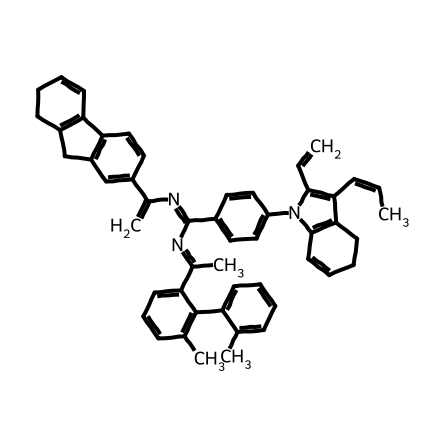 C=Cc1c(/C=C\C)c2c(n1-c1ccc(C(=N/C(=C)c3ccc4c(c3)CC3=C4C=CCC3)/N=C(\C)c3cccc(C)c3-c3ccccc3C)cc1)C=CCC2